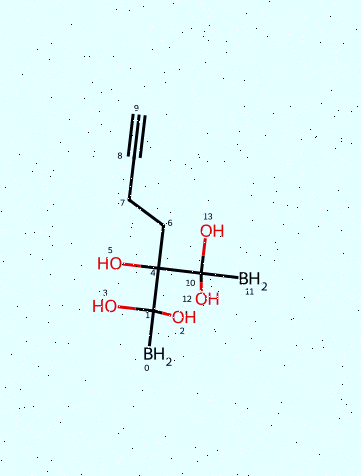 BC(O)(O)C(O)(CCC#C)C(B)(O)O